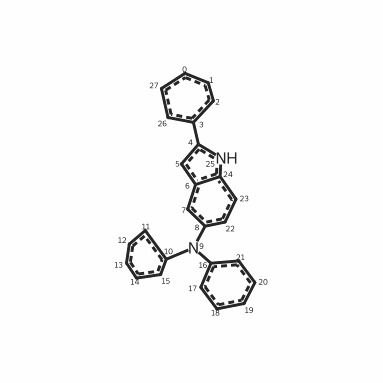 c1ccc(-c2cc3cc(N(c4ccccc4)c4ccccc4)ccc3[nH]2)cc1